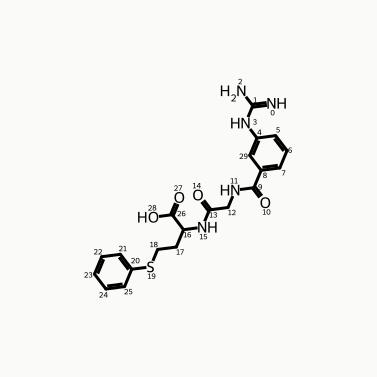 N=C(N)Nc1cccc(C(=O)NCC(=O)NC(CCSc2ccccc2)C(=O)O)c1